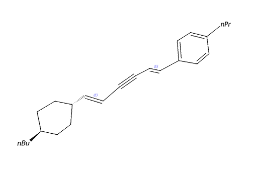 CCCC[C@H]1CC[C@H](/C=C/C#C/C=C/c2ccc(CCC)cc2)CC1